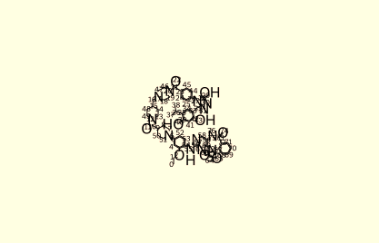 CCOc1cc(N2CCC(C(=O)N3CCC(CN4CCN(C(=O)c5ccc(-n6c(O)nnc6-c6cc(C(C)C)c(O)cc6O)cc5)CC4)CC3)CC2)ccc1Nc1ncc2c(n1)N(S(C)(=O)=O)c1ccccc1C(=O)N2C